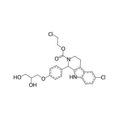 O=C(OCCCl)N1CCc2c([nH]c3ccc(Cl)cc23)C1c1ccc(OCC(O)CO)cc1